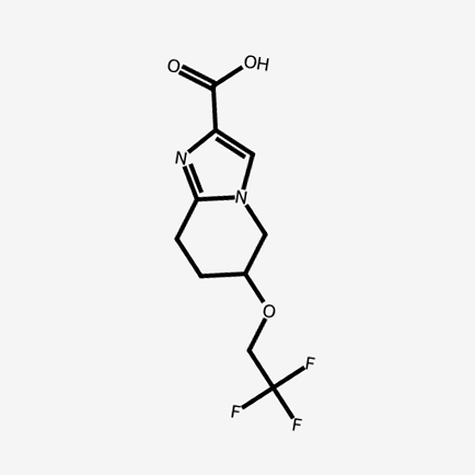 O=C(O)c1cn2c(n1)CCC(OCC(F)(F)F)C2